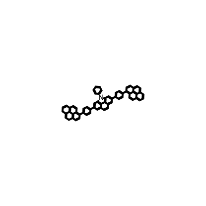 C1=Cc2ccc3c(-c4ccc(-c5cc6ccc7cc(-c8ccc(-c9ccc%10ccc%11cccc%12ccc9c%10c%11%12)cc8)cc8c7c6c(c5)n8-c5ccccc5)cc4)ccc4c3c2C(=CC4)C1